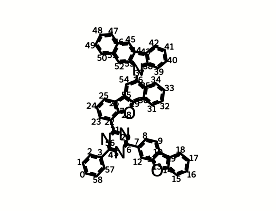 c1ccc(-c2nc(-c3ccc4c(c3)oc3ccccc34)nc(-c3cccc4c3oc3c5ccccc5c(-n5c6ccccc6c6cc7ccccc7cc65)cc43)n2)cc1